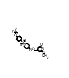 COc1cc(CON=C2CCN(S(=O)(=O)c3ccc(OC(F)(F)F)cc3)CC2)cc(Cl)n1